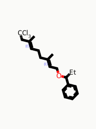 CCC(OC/C=C(\C)CC/C=C(\C)CC(Cl)(Cl)Cl)c1ccccc1